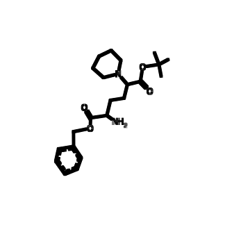 CC(C)(C)OC(=O)C(CCC(N)C(=O)OCc1ccccc1)N1CCCCC1